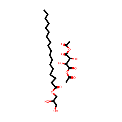 CC(=O)OC(=O)C(O)C(O)C(=O)OC(C)=O.CCCCCCCCCCCCCCCCCC(=O)OCC(O)CO